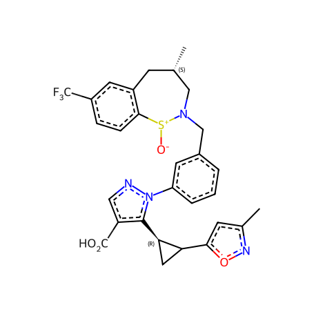 Cc1cc(C2C[C@H]2c2c(C(=O)O)cnn2-c2cccc(CN3C[C@@H](C)Cc4cc(C(F)(F)F)ccc4[S+]3[O-])c2)on1